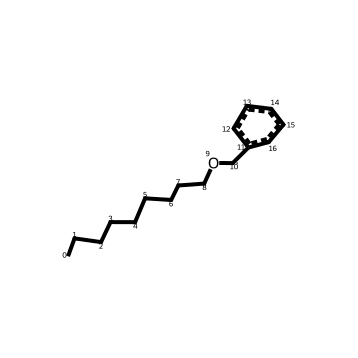 CCCCCCCCCO[CH]c1ccccc1